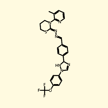 Cc1cccnc1N1CCCS/C1=N\N=C\c1ccc(C2N=CN(c3ccc(OC(F)(F)F)cc3)N2)cc1